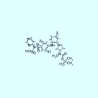 CN(C(=O)OC(C)(C)C)C1CCN(c2cc(F)ccc2Nc2cc(F)c(S(=O)(=O)N(C(=O)O)c3ccncn3)cc2Cl)C1